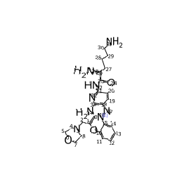 C=C(CN1CCOCC1)Oc1ccccc1/N=N/c1ccc(NC(=O)[C@@H](N)CCCCN)nc1N